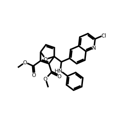 COC(=O)C1=C(C(=O)OC)C2(C(Nc3ccccc3)c3ccc4nc(Cl)ccc4c3)C=CC1O2